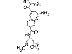 C=N/C=C(\C=C(/C)F)NC(=O)c1ccc2c(c1)N=C(N)CC(C(=O)N(CCC)CCC)=C2